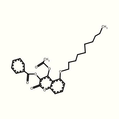 CCCCCCCCCCOc1cccc2oc(=O)c(OC(=O)c3ccccc3)c(OC(C)=O)c12